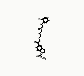 CC(=O)N1CCc2cc(C(=O)CCCCCNCCc3ccccc3Cl)ccc21